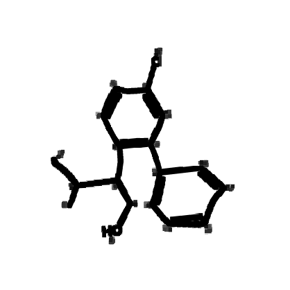 CC(C)C(CO)c1ccc(Cl)cc1-c1ccccc1